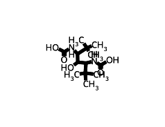 CC(C)(C)C(NC(=O)O)C(O)C(NC(=O)O)C(C)(C)C